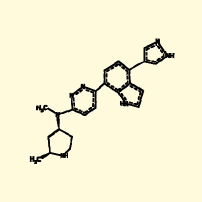 C[C@H]1C[C@@H](N(C)c2ccc(-c3ccc(-c4cn[nH]c4)c4cc[nH]c34)nn2)CCN1